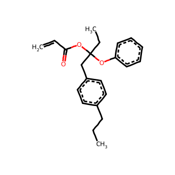 C=CC(=O)OC(CC)(Cc1ccc(CCC)cc1)Oc1ccccc1